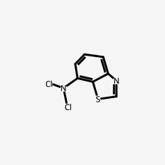 ClN(Cl)c1cccc2ncsc12